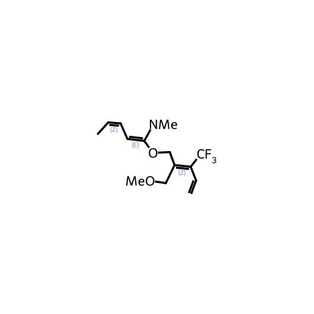 C=C/C(=C(\COC)CO/C(=C/C=C\C)NC)C(F)(F)F